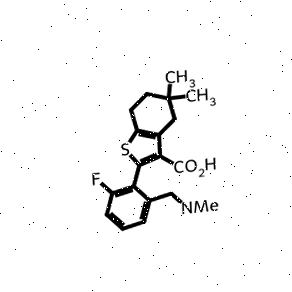 CNCc1cccc(F)c1-c1sc2c(c1C(=O)O)CC(C)(C)CC2